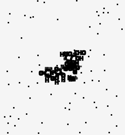 O=C[C@H](O)[C@@H](O)[C@@H](O)[C@@H](CO)OP(=O)(OC[C@H]1O[C@@H](n2ccc(=O)[nH]c2=O)[C@H](O)[C@@H]1O)OP(=O)([O-])[O-].[Na+].[Na+]